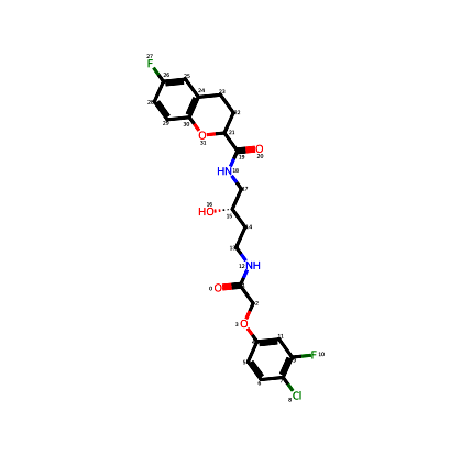 O=C(COc1ccc(Cl)c(F)c1)NCC[C@H](O)CNC(=O)C1CCc2cc(F)ccc2O1